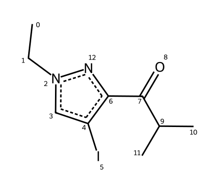 CCn1cc(I)c(C(=O)C(C)C)n1